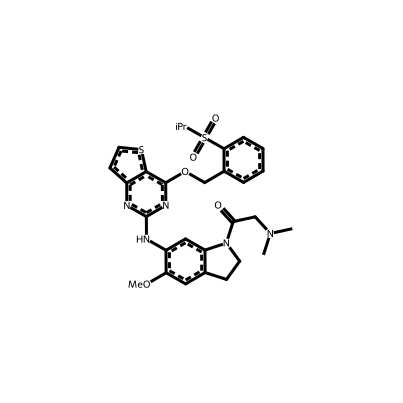 COc1cc2c(cc1Nc1nc(OCc3ccccc3S(=O)(=O)C(C)C)c3sccc3n1)N(C(=O)CN(C)C)CC2